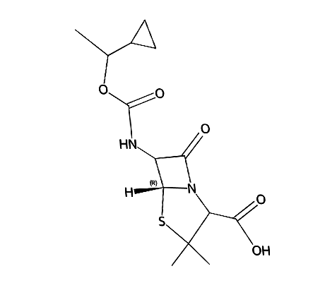 CC(OC(=O)NC1C(=O)N2C(C(=O)O)C(C)(C)S[C@H]12)C1CC1